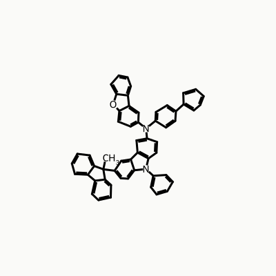 CC1(c2ccc3c(c2)c2cc(N(c4ccc(-c5ccccc5)cc4)c4ccc5oc6ccccc6c5c4)ccc2n3-c2ccccc2)c2ccccc2-c2ccccc21